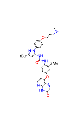 CSc1cc(Oc2ccnc3[nH]c(=O)cnc23)ccc1NC(=O)Nc1cc(C(C)(C)C)nn1-c1ccc(OCCCN(C)C)cc1